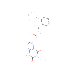 Cn1c(=O)c2c(ncn2CC(=O)NC(CN2CCOCC2)c2ccccc2)n(C)c1=O